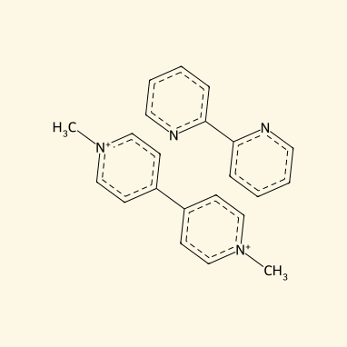 C[n+]1ccc(-c2cc[n+](C)cc2)cc1.c1ccc(-c2ccccn2)nc1